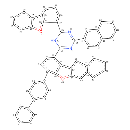 c1ccc(-c2ccc(-c3ccc(C4=NC(c5ccc6ccccc6c5)=NC(c5cccc6c5oc5ccccc56)N4)c4c3oc3cc5ccccc5cc34)cc2)cc1